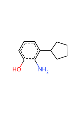 Nc1c(O)cccc1C1CCCC1